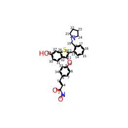 O=NC(=O)/C=C/c1ccc(Oc2c(-c3ccccc3CN3CCCC3)sc3cc(O)ccc23)cc1